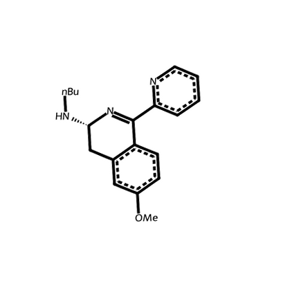 CCCCN[C@H]1Cc2cc(OC)ccc2C(c2ccccn2)=N1